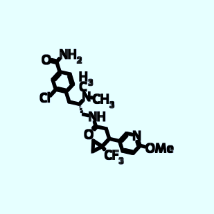 COc1ccc(C(CC(=O)NC[C@H](Cc2ccc(C(N)=O)cc2Cl)N(C)C)C2(C(F)(F)F)CC2)cn1